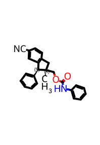 C[C@@]1(COC(=O)Nc2ccccc2)Cc2ccc(C#N)cc2[C@@H]1c1ccccc1